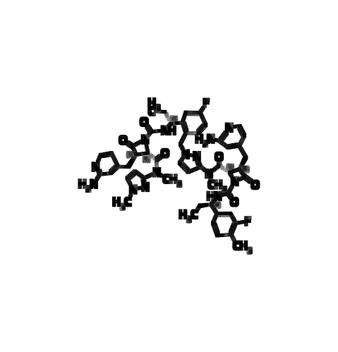 CC[C@@H](NC(=O)N1C(=O)[C@H](Cc2ccnc(N)c2)[C@H]1C(=O)N(C)c1ccn(Cc2ccc(F)cc2[C@@H](CC)NC(=O)N2C(=O)[C@H](Cc3ccnc(N)c3)[C@H]2C(=O)N(C)c2ccn(C)n2)n1)c1ccc(C)c(F)c1